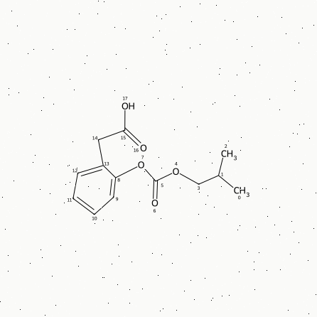 CC(C)COC(=O)Oc1ccccc1CC(=O)O